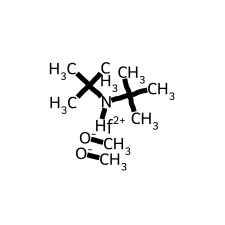 CC(C)(C)[N]([Hf+2])C(C)(C)C.C[O-].C[O-]